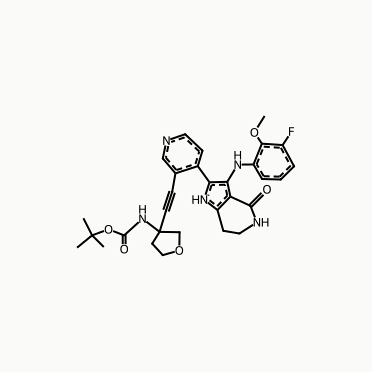 COc1c(F)cccc1Nc1c(-c2ccncc2C#CC2(NC(=O)OC(C)(C)C)CCOC2)[nH]c2c1C(=O)NCC2